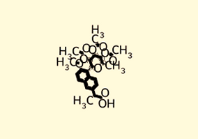 COc1ccc2cc(C(C)C(=O)O)ccc2c1[C@H]1O[C@@H](C)[C@@H](OC(C)=O)[C@@H](OC(C)=O)[C@@H]1OC(C)=O